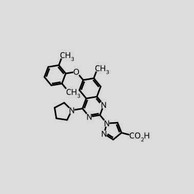 Cc1cc2nc(-n3cc(C(=O)O)cn3)nc(N3CCCC3)c2cc1Oc1c(C)cccc1C